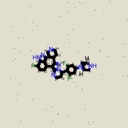 Fc1cc(N2C[C@@H]3C[C@H]2CN3)cc(F)c1-c1ccnc2c(-c3ccc(F)c4[nH]ncc34)c(-c3ccncc3)nn12